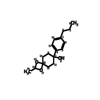 CCCc1ccc(C2(O)CCC3(CC2)OC(C)O3)cc1